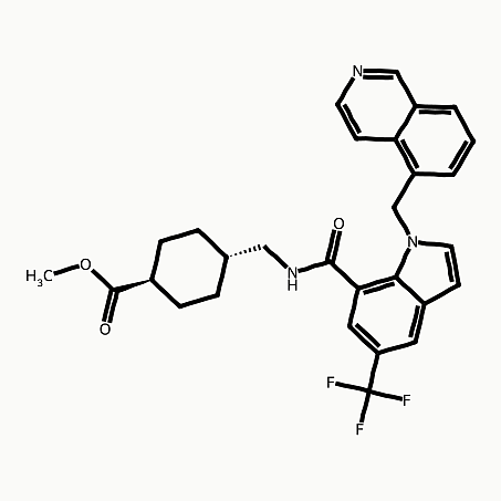 COC(=O)[C@H]1CC[C@H](CNC(=O)c2cc(C(F)(F)F)cc3ccn(Cc4cccc5cnccc45)c23)CC1